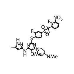 CNC1CCN(c2nc(Sc3ccc(S(=O)(=O)C(C)(C)c4cccc([N+](=O)[O-])c4F)cc3F)nc(Nc3cc(C)[nH]n3)c2OC)CC1